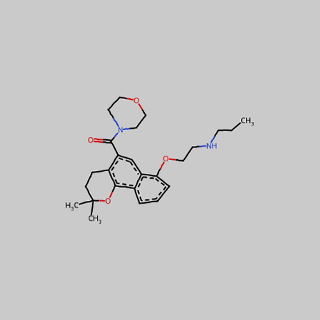 CCCNCCOc1cccc2c3c(c(C(=O)N4CCOCC4)cc12)CCC(C)(C)O3